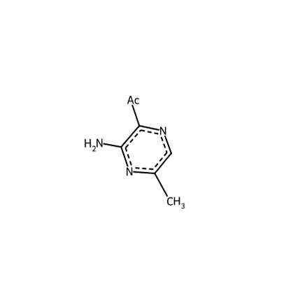 CC(=O)c1ncc(C)nc1N